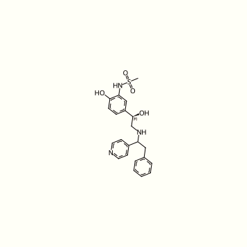 CS(=O)(=O)Nc1cc([C@@H](O)CNC(Cc2ccccc2)c2ccncc2)ccc1O